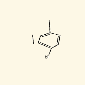 CC.Cc1ccc(Br)cc1